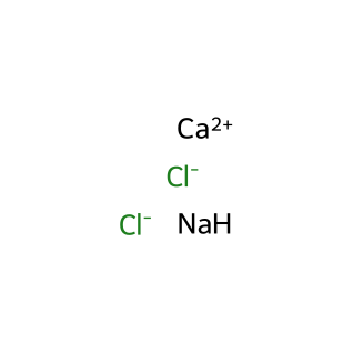 [Ca+2].[Cl-].[Cl-].[NaH]